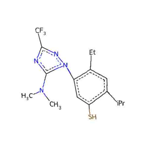 CCc1cc(C(C)C)c(S)cc1-n1nc(C(F)(F)F)nc1N(C)C